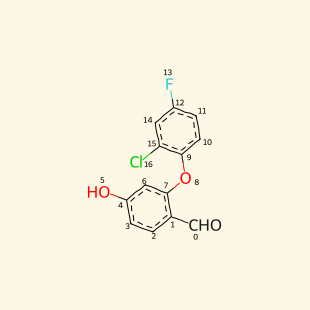 O=Cc1ccc(O)cc1Oc1ccc(F)cc1Cl